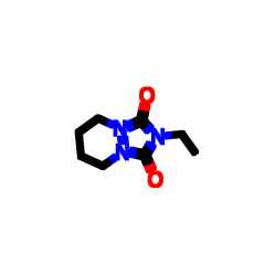 CCn1c(=O)n2n(c1=O)CCCC2